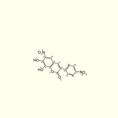 O=c1oc2c(O)c(O)c([N+](=O)[O-])cc2cc1-c1ccc([N+](=O)[O-])cc1